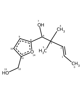 CC=CC(C)(C)C(O)c1ccc(CO)o1